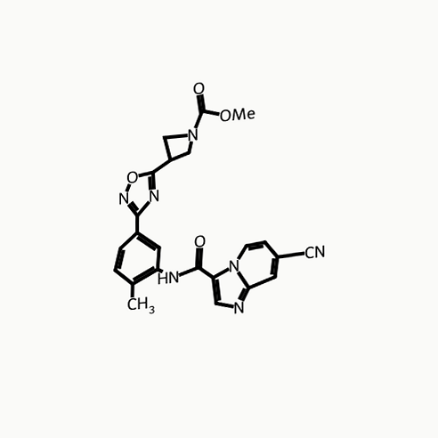 COC(=O)N1CC(c2nc(-c3ccc(C)c(NC(=O)c4cnc5cc(C#N)ccn45)c3)no2)C1